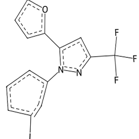 FC(F)(F)c1cc(-c2ccco2)n(-c2cccc(I)c2)n1